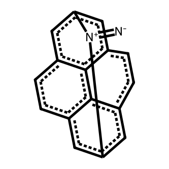 [N-]=[N+]1c2cc3ccc4cc1cc1ccc(c2)c3c41